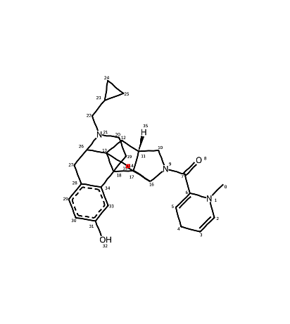 CN1C=CCC=C1C(=O)N1C[C@H]2CC34CCC1C2C31CCN(CC2CC2)C4Cc2ccc(O)cc21